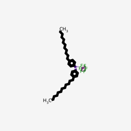 CCCCCCCCCCCCc1ccc([I+]c2ccc(CCCCCCCCCCCC)cc2)cc1.F[P-](F)(F)(F)(F)F